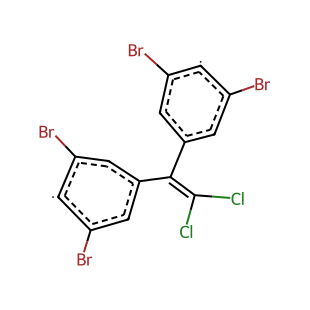 ClC(Cl)=C(c1cc(Br)[c]c(Br)c1)c1cc(Br)[c]c(Br)c1